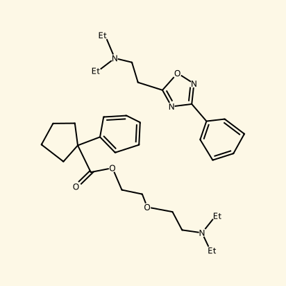 CCN(CC)CCOCCOC(=O)C1(c2ccccc2)CCCC1.CCN(CC)CCc1nc(-c2ccccc2)no1